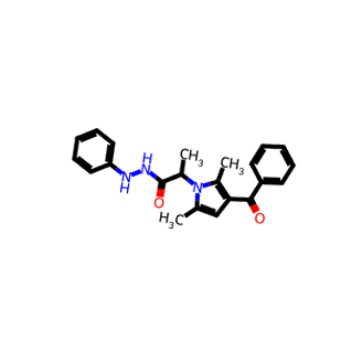 Cc1cc(C(=O)c2ccccc2)c(C)n1C(C)C(=O)NNc1ccccc1